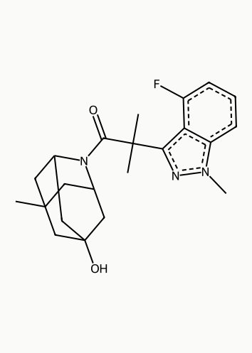 Cn1nc(C(C)(C)C(=O)N2C3CC4(C)CC2CC(O)(C3)C4)c2c(F)cccc21